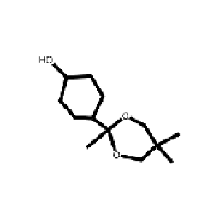 CC1(C)COC(C)(C2CCC(O)CC2)OC1